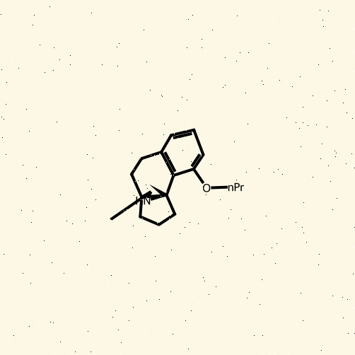 CCCOc1cccc2c1C13CCCC1(CC2)C(C)NCC3